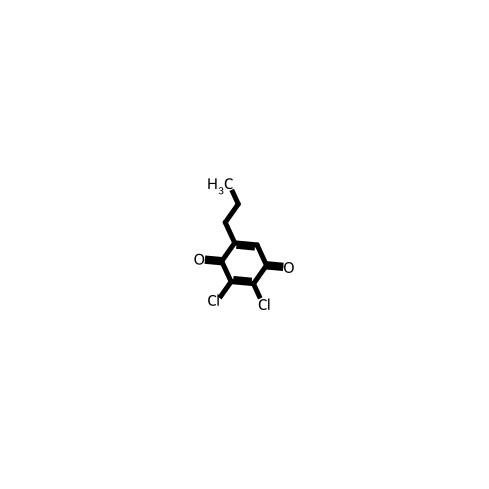 CCCC1=CC(=O)C(Cl)=C(Cl)C1=O